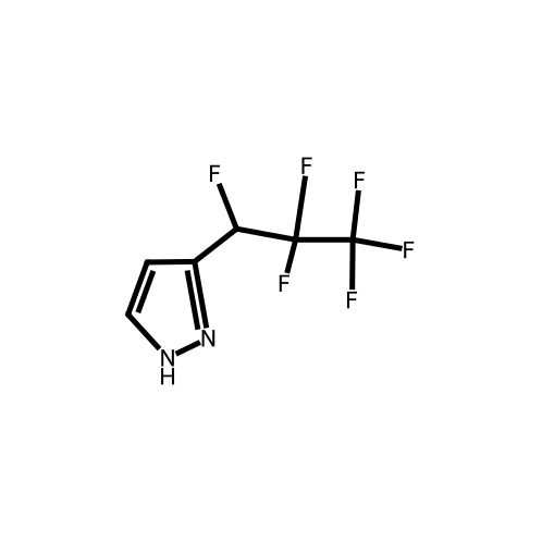 FC(c1cc[nH]n1)C(F)(F)C(F)(F)F